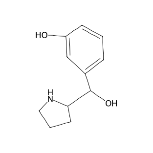 Oc1cccc(C(O)C2CCCN2)c1